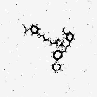 COc1cccc(CN(Cc2cccc(N3CCOCC3)c2)c2nc(COCCOc3cccc(N(C)C)c3)co2)c1